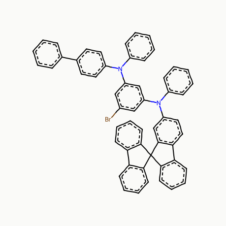 Brc1cc(N(c2ccccc2)c2ccc(-c3ccccc3)cc2)cc(N(c2ccccc2)c2ccc3c(c2)C2(c4ccccc4-c4ccccc42)c2ccccc2-3)c1